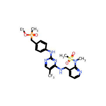 CCOP(C)(=O)Cc1ccc(Nc2ncc(C(F)(F)F)c(NCc3cccnc3N(C)S(C)(=O)=O)n2)cc1